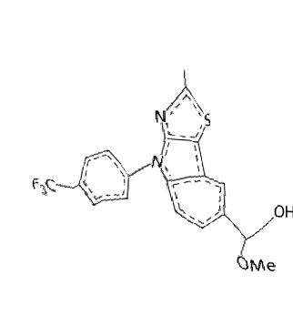 COC(O)c1ccc2c(c1)c1sc(C)nc1n2-c1ccc(C(F)(F)F)cc1